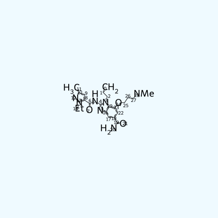 C=CCn1c(NC(=O)c2cc(C)nn2CC)nc2cc(C(N)=O)cc(OCCCNC)c21